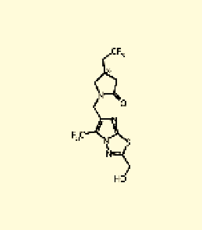 O=C1C[C@H](CC(F)(F)F)CN1Cc1nc2sc(CO)nn2c1C(F)(F)F